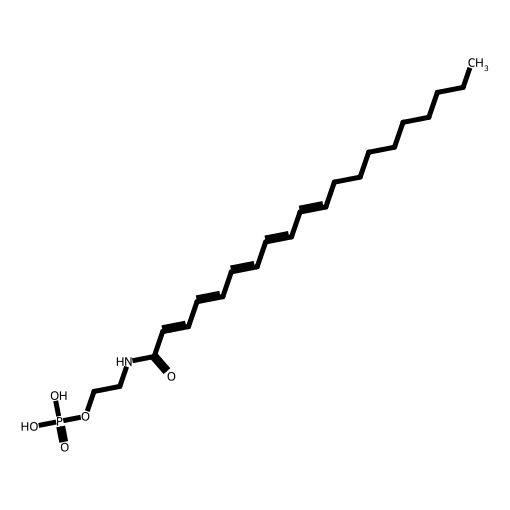 CCCCCCCCCC=CC=CC=CC=CC=CC(=O)NCCOP(=O)(O)O